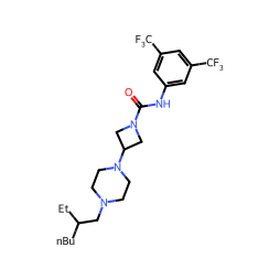 CCCCC(CC)CN1CCN(C2CN(C(=O)Nc3cc(C(F)(F)F)cc(C(F)(F)F)c3)C2)CC1